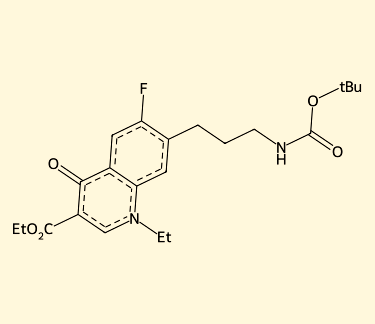 CCOC(=O)c1cn(CC)c2cc(CCCNC(=O)OC(C)(C)C)c(F)cc2c1=O